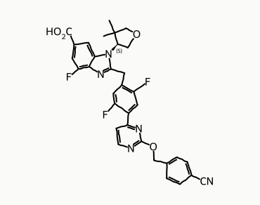 CC1(C)COC[C@H]1n1c(Cc2cc(F)c(-c3ccnc(OCc4ccc(C#N)cc4)n3)cc2F)nc2c(F)cc(C(=O)O)cc21